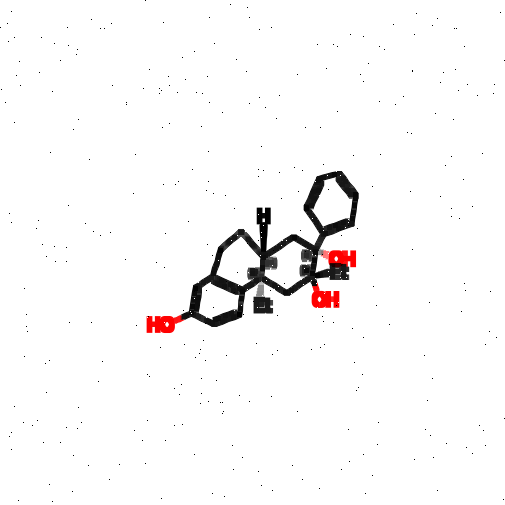 CC[C@@]12C[C@](O)(CC)[C@](O)(c3ccccc3)C[C@H]1CCc1cc(O)ccc12